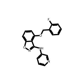 Fc1ccccc1COc1cccc2onc(Nc3cccnc3)c12